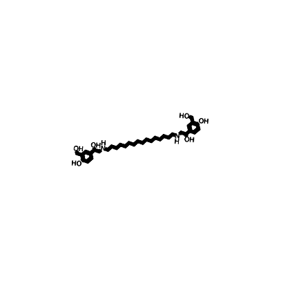 OCc1cc(C(O)CNCCCCCCCCCCCCCCCCNCC(O)c2ccc(O)c(CO)c2)ccc1O